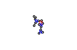 CC1(C)c2ccccc2-c2ccc(N(c3ccc(-c4ccccc4)cc3)c3ccc(-c4cccc5c4oc4c(-n6c7ccccc7c7cc(-c8ccc9c(c8)c8ccccc8n9-c8ccccc8)ccc76)cccc45)cc3)cc21